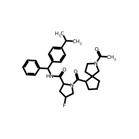 CC(=O)N1CCC2(CCCC2C(=O)N2CC(F)CC2C(=O)NC(c2ccccc2)c2ccc(C(C)C)cc2)C1